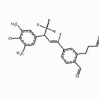 Cc1cc(C(/C=C(\F)c2ccc(C=O)c(CCC=O)c2)C(F)(F)F)cc(C)c1Cl